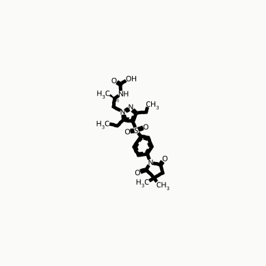 CCc1nn(C[C@@H](C)NC(=O)O)c(CC)c1S(=O)(=O)c1ccc(N2C(=O)CC(C)(C)C2=O)cc1